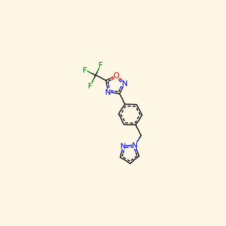 FC(F)(F)c1nc(-c2ccc(Cn3cccn3)cc2)no1